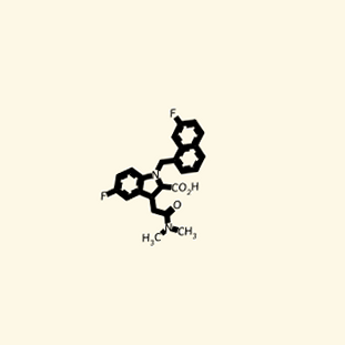 CN(C)C(=O)CC1c2cc(F)ccc2N(Cc2cccc3ccc(F)cc23)C1C(=O)O